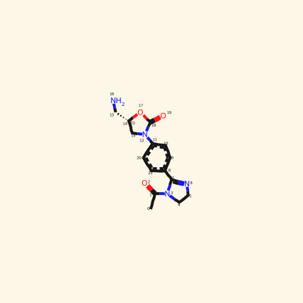 CC(=O)N1CCN=C1c1ccc(N2C[C@H](CN)OC2=O)cc1